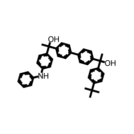 CC(C)(C)c1ccc(C(C)(O)c2ccc(-c3ccc(C(C)(O)c4ccc(Nc5ccccc5)cc4)cc3)cc2)cc1